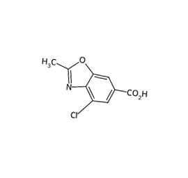 Cc1nc2c(Cl)cc(C(=O)O)cc2o1